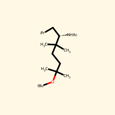 CC(=O)N[C@@H](CC(C)C)C(C)(C)CCC(C)(C)OC(C)(C)C